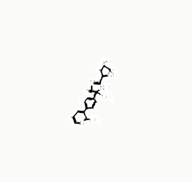 Cc1ncccc1-c1ccc(C2(C)NC(C3C[C@@H](O)CN3)=NC2=O)cc1